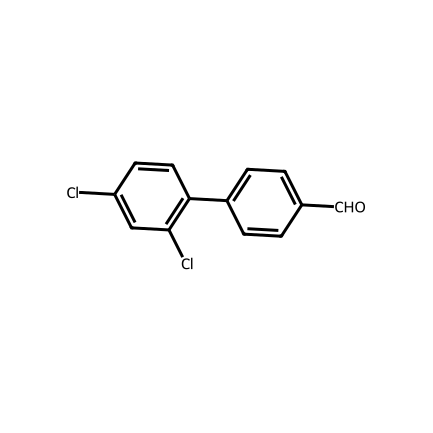 O=Cc1ccc(-c2ccc(Cl)cc2Cl)cc1